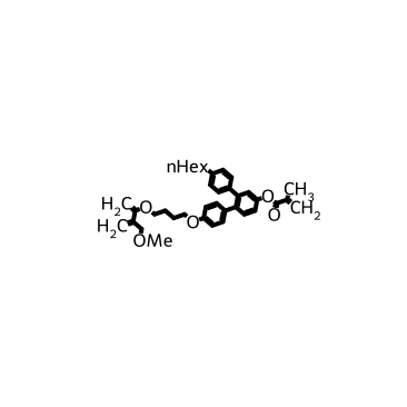 C=C(C)C(=O)Oc1ccc(-c2ccc(OCCCCOC(=C)C(=C)COC)cc2)c(-c2ccc(CCCCCC)cc2)c1